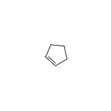 [C]1=CC[CH]C1